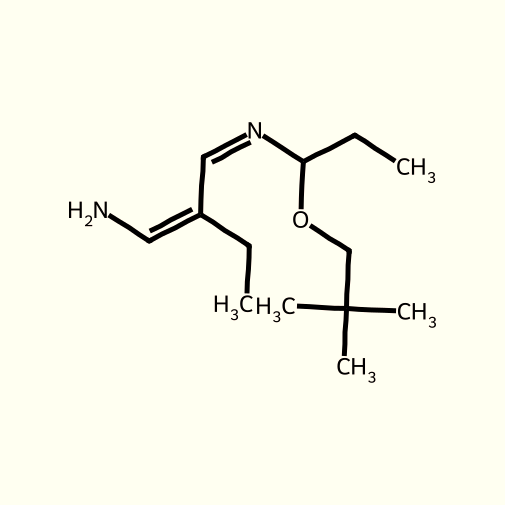 CCC(/C=N\C(CC)OCC(C)(C)C)=C/N